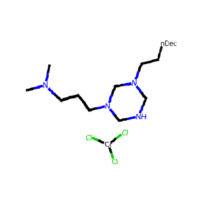 CCCCCCCCCCCCN1CNCN(CCCN(C)C)C1.[Cl][Cr]([Cl])[Cl]